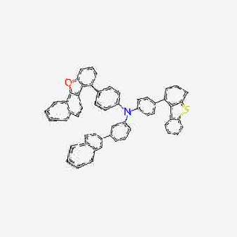 c1cc(-c2ccc3ccccc3c2)cc(N(c2ccc(-c3cccc4oc5c6ccccc6ccc5c34)cc2)c2ccc(-c3cccc4sc5ccccc5c34)cc2)c1